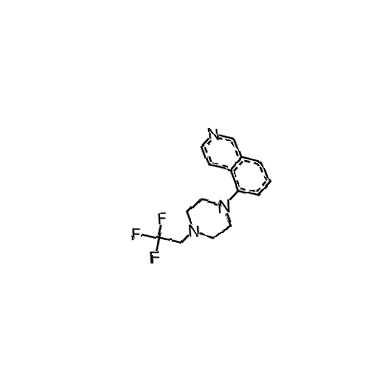 FC(F)(F)CN1CCN(c2cccc3cnccc23)CC1